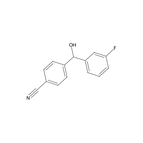 N#Cc1ccc(C(O)c2cccc(F)c2)cc1